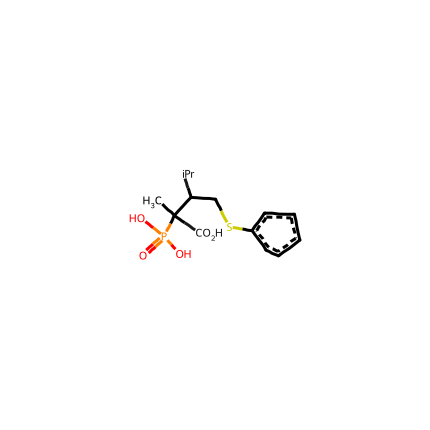 CC(C)C(CSc1ccccc1)C(C)(C(=O)O)P(=O)(O)O